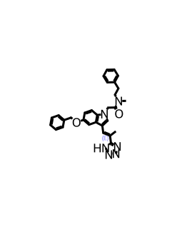 C/C(=C\c1cn(CC(=O)N(C)CCc2ccccc2)c2ccc(OCc3ccccc3)cc12)c1nnn[nH]1